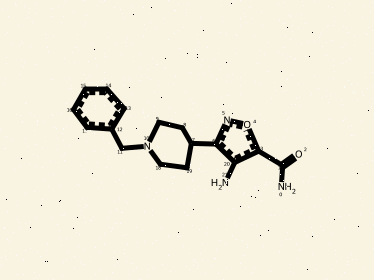 NC(=O)c1onc(C2CCN(Cc3ccccc3)CC2)c1N